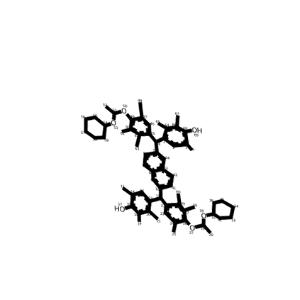 Cc1cc(C(c2ccc3cc(C(c4cc(C)c(O)c(C)c4C)c4cc(C)c(OC(C)OC5CCCCC5)c(C)c4C)ccc3c2)c2cc(C)c(OC(C)OC3CCCCC3)c(C)c2C)c(C)c(C)c1O